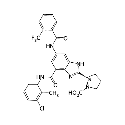 Cc1c(Cl)cccc1NC(=O)c1cc(NC(=O)c2ccccc2C(F)(F)F)cc2[nH]c([C@H]3CCCN3C(=O)O)nc12